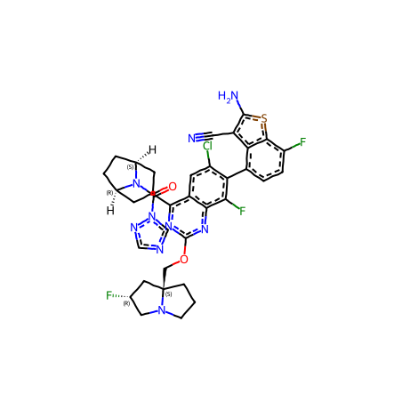 N#Cc1c(N)sc2c(F)ccc(-c3c(Cl)cc4c(C5C[C@H]6CC[C@@H](C5)N6C(=O)n5cncn5)nc(OC[C@@]56CCCN5C[C@H](F)C6)nc4c3F)c12